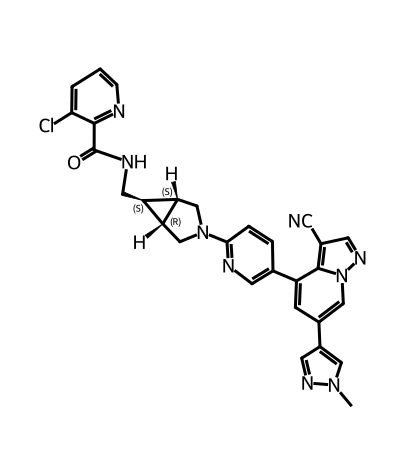 Cn1cc(-c2cc(-c3ccc(N4C[C@@H]5[C@@H](CNC(=O)c6ncccc6Cl)[C@@H]5C4)nc3)c3c(C#N)cnn3c2)cn1